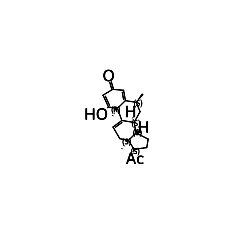 CC(=O)[C@H]1CC[C@H]2[C@@H]3C[C@H](C)C4=CC(=O)C=C(O)[C@]4(C)C3=CC[C@]12C